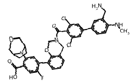 CNc1ccc(-c2cc(Cl)c(C(=O)N3COc4c(cccc4-c4cc(N5C6CCC5COC6)c(C(=O)O)cc4F)C3)c(Cl)c2)cc1CN